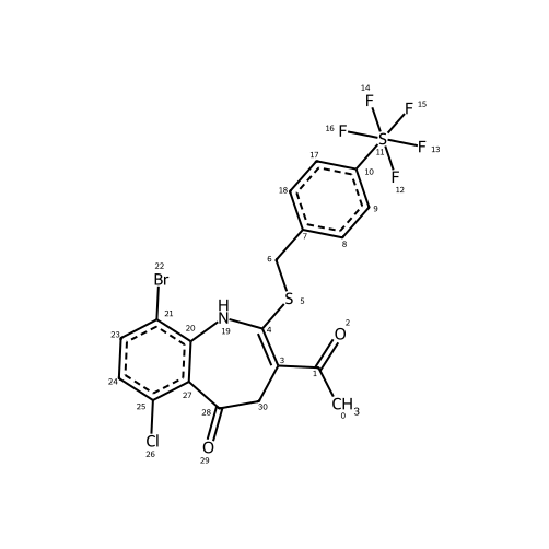 CC(=O)C1=C(SCc2ccc(S(F)(F)(F)(F)F)cc2)Nc2c(Br)ccc(Cl)c2C(=O)C1